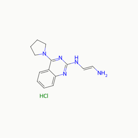 Cl.NC=CNc1nc(N2CCCC2)c2ccccc2n1